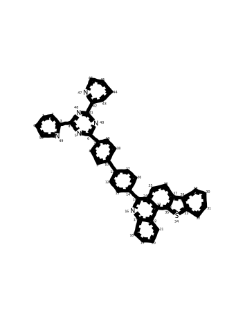 c1ccc(-c2nc(-c3ccc(-c4ccc(-c5nc6ccccc6c6c5ccc5c7ccccc7sc56)cc4)cc3)nc(-c3ccccn3)n2)nc1